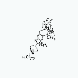 CC(=O)N1CCC(c2nc3cc4c(cc3[nH]2)[C@]2(C)CCN(C(=O)C(F)(F)F)[C@H](C4)C2(C)C)CC1